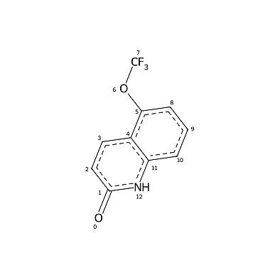 O=c1ccc2c(OC(F)(F)F)cccc2[nH]1